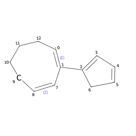 [C]1=C(C2=CC=CC2)\C=C/CCCC/1